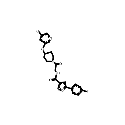 O=C(NCC(=O)N1CCC(Oc2cncc(Cl)c2)CC1)c1cc(-c2ccc(F)cc2)on1